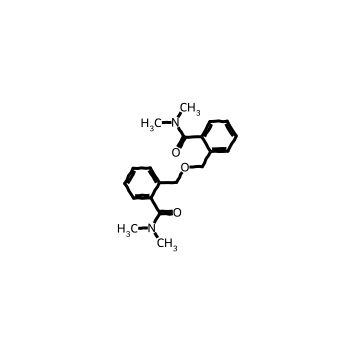 CN(C)C(=O)c1ccccc1COCc1ccccc1C(=O)N(C)C